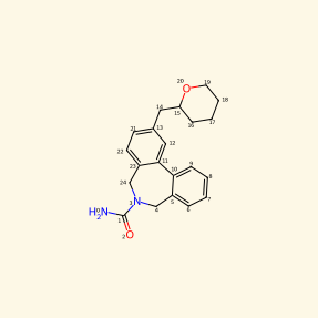 NC(=O)N1Cc2ccccc2-c2cc(CC3CCCCO3)ccc2C1